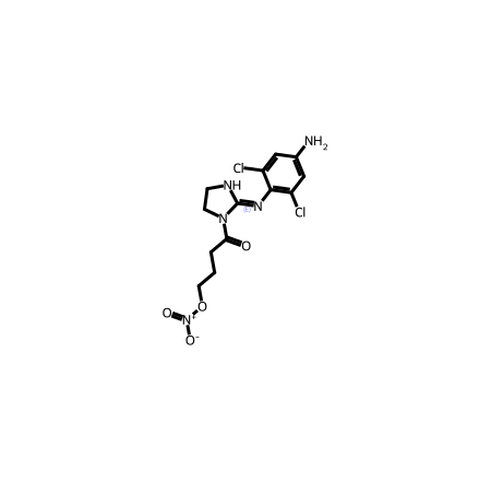 Nc1cc(Cl)c(/N=C2\NCCN2C(=O)CCCO[N+](=O)[O-])c(Cl)c1